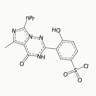 CCCc1nc(C)c2c(=O)[nH]c(-c3cc(S(=O)(=O)Cl)ccc3O)nn12